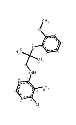 COc1ccccc1OC(C)(C)CNc1ncnc(Cl)c1C